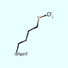 CCCCCCCCCSC(F)(F)F